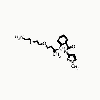 C=C(CCOCCOCCN)Nc1ccccc1C(=O)Nc1ccn(C)n1